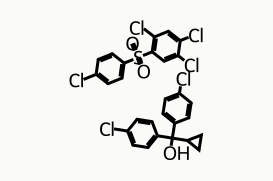 O=S(=O)(c1ccc(Cl)cc1)c1cc(Cl)c(Cl)cc1Cl.OC(c1ccc(Cl)cc1)(c1ccc(Cl)cc1)C1CC1